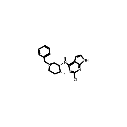 C[C@@H]1CCN(Cc2ccccc2)C[C@@H]1N(C)c1nc(Cl)nc2[nH]ccc12